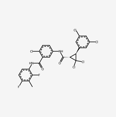 Cc1c(F)ccc(NC(=O)c2cc(NC(=O)[C@@H]3[C@@H](c4cc(Cl)cc(Cl)c4)C3(Cl)Cl)ccc2Cl)c1F